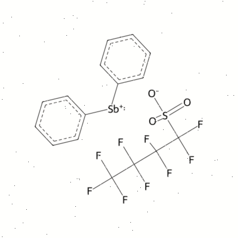 O=S(=O)([O-])C(F)(F)C(F)(F)C(F)(F)C(F)(F)F.c1cc[c]([Sb+][c]2ccccc2)cc1